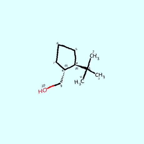 CC(C)(C)[C@@H]1CCC[C@H]1CO